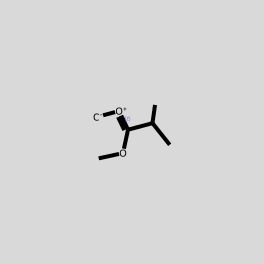 [CH2-]/[O+]=C(\OC)C(C)C